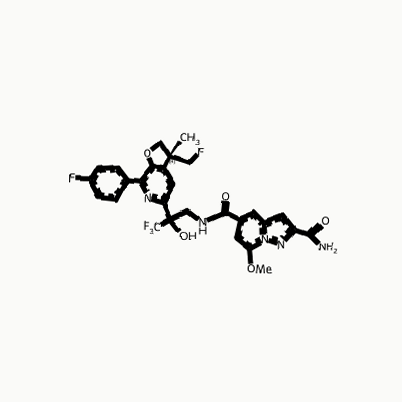 COc1cc(C(=O)NCC(O)(c2cc3c(c(-c4ccc(F)cc4)n2)OC[C@]3(C)CF)C(F)(F)F)cc2cc(C(N)=O)nn12